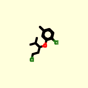 Cc1ccc(Cl)c(OC(CCCl)C(C)C)c1